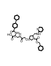 O=C(CO[C@@H]1C[C@@H](CNc2ccccn2)N(C(=O)OCc2ccccc2)C1)NC[C@H](NC(=O)c1ccc(-c2ccccc2)cc1)C(=O)O